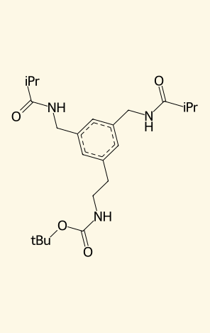 CC(C)C(=O)NCc1cc(CCNC(=O)OC(C)(C)C)cc(CNC(=O)C(C)C)c1